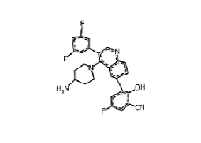 N#Cc1cc(F)cc(-c2ccc3ncc(-c4cc(F)cc(F)c4)c(N4CCC(N)CC4)c3c2)c1O